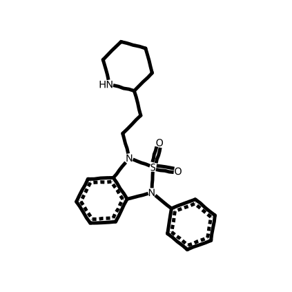 O=S1(=O)N(CCC2CCCCN2)c2ccccc2N1c1ccccc1